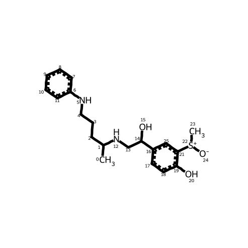 CC(CCCNc1ccccc1)NCC(O)c1ccc(O)c([S+](C)[O-])c1